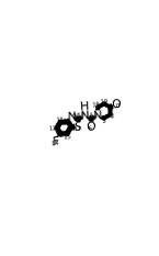 O=C1CCN(C(=O)Nc2nc3ccc(F)cc3s2)CC1